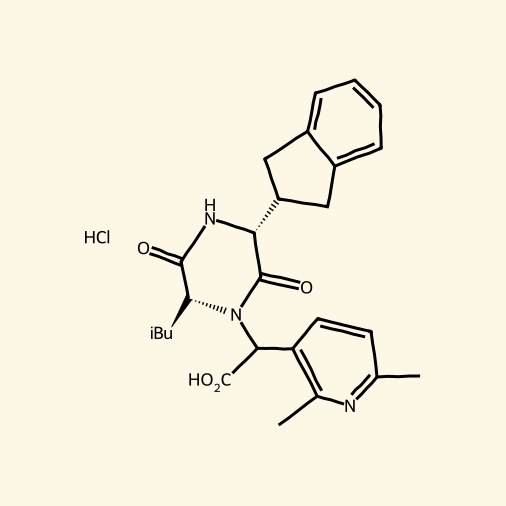 CC[C@H](C)[C@@H]1C(=O)N[C@H](C2Cc3ccccc3C2)C(=O)N1C(C(=O)O)c1ccc(C)nc1C.Cl